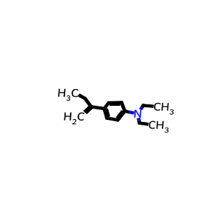 C=C(CC)c1ccc(N(CC)CC)cc1